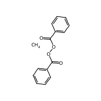 C.O=C(OOC(=O)c1ccccc1)c1ccccc1